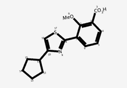 COc1c(C(=O)O)cccc1-c1nc(C2CCCC2)cs1